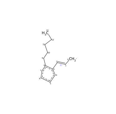 [CH2]/C=C/c1ccccc1CCCCC